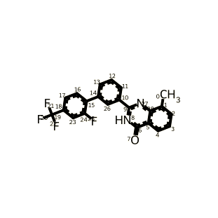 Cc1cccc2c(=O)[nH]c(-c3cccc(-c4ccc(C(F)(F)F)cc4F)c3)nc12